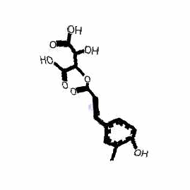 Cc1cc(/C=C/C(=O)OC(C(=O)O)C(O)C(=O)O)ccc1O